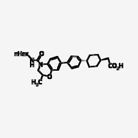 CCCCCCNC(=O)N1CC(C)Oc2cc(-c3ccc([C@H]4CC[C@H](CC(=O)O)CC4)cc3)ccc21